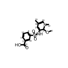 COC1C(NS(=O)(=O)c2cccc(C(=O)O)c2)=CC(C)=CN1C